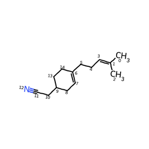 CC(C)=CCCC1=CCC(CC#N)CC1